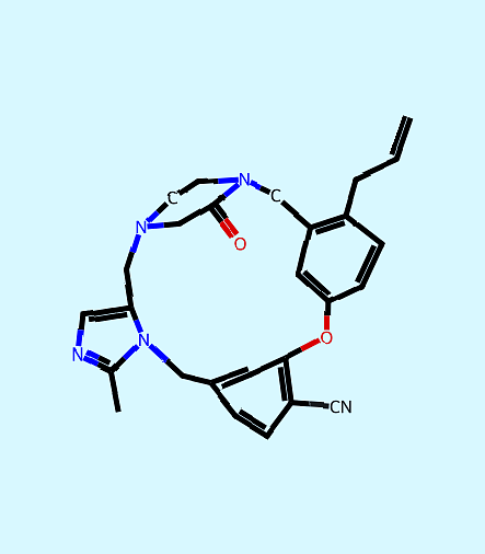 C=CCc1ccc2cc1CN1CCN(CC1=O)Cc1cnc(C)n1Cc1ccc(C#N)c(c1)O2